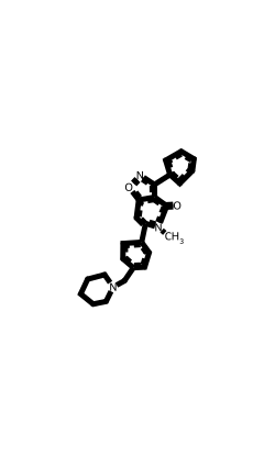 Cn1c(-c2ccc(CN3CCCCC3)cc2)cc2onc(-c3ccccc3)c2c1=O